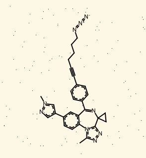 Cc1nnc2n1-c1ccc(-c3cnn(C)c3)cc1C(c1ccc(C#CCCCCN=[N+]=[N-])cc1)=NC21CC1